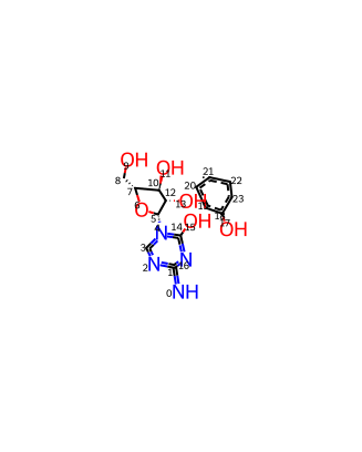 N=c1ncn([C@@H]2O[C@H](CO)[C@@H](O)[C@@H]2O)c(O)n1.Oc1cc[c]cc1